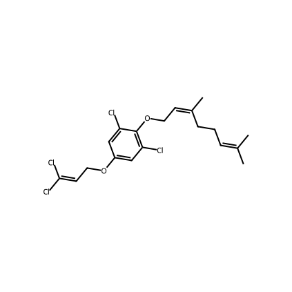 CC(C)=CCCC(C)=CCOc1c(Cl)cc(OCC=C(Cl)Cl)cc1Cl